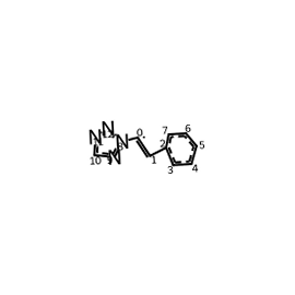 [C](=C\c1ccccc1)/n1ncnn1